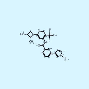 C[C@@H]1[C@@H](O)CN1c1cc(NC(=O)c2cccc(-c3cnn(C)c3)n2)c(C(F)(F)F)cn1